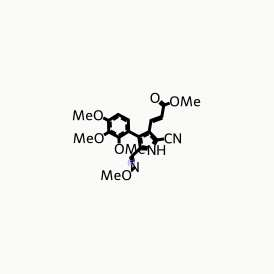 CO/N=C/c1[nH]c(C#N)c(C=CC(=O)OC)c1-c1ccc(OC)c(OC)c1OC